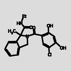 CCNC(=O)C1(C)c2ccccc2CN1C(=O)c1cc(Cl)c(O)cc1O